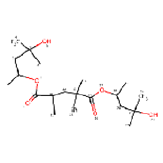 CC(CC(C)(O)C(F)(F)F)OC(=O)C(C)CC(C)(C(=O)OC(C)CC(C)(O)C(F)(F)F)C(C)C